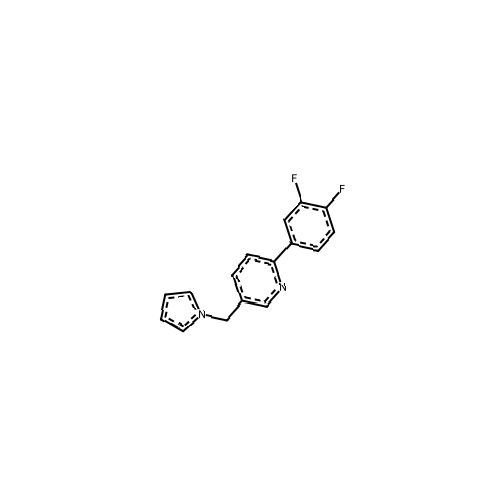 Fc1ccc(-c2ccc(Cn3cccc3)cn2)cc1F